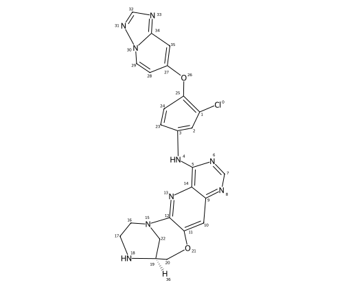 Clc1cc(Nc2ncnc3cc4c(nc23)N2CCN[C@H](CO4)C2)ccc1Oc1ccn2ncnc2c1